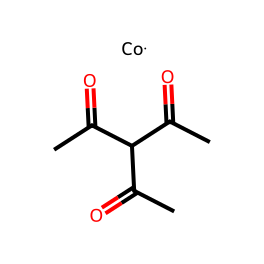 CC(=O)C(C(C)=O)C(C)=O.[Co]